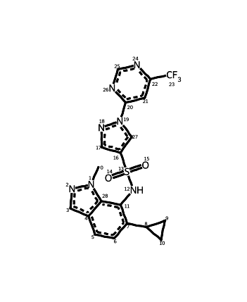 Cn1ncc2ccc(C3CC3)c(NS(=O)(=O)c3cnn(-c4cc(C(F)(F)F)ncn4)c3)c21